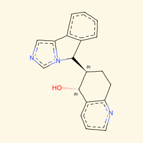 O[C@H]1c2cccnc2CC[C@@H]1C1c2ccccc2-c2cncn21